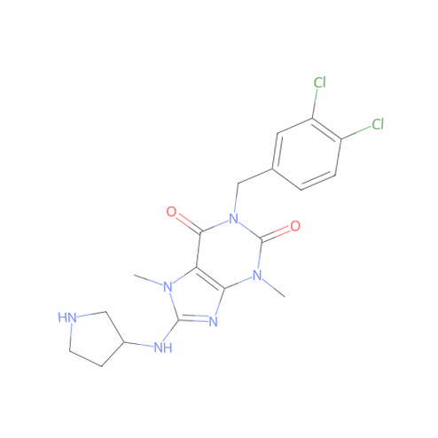 Cn1c(NC2CCNC2)nc2c1c(=O)n(Cc1ccc(Cl)c(Cl)c1)c(=O)n2C